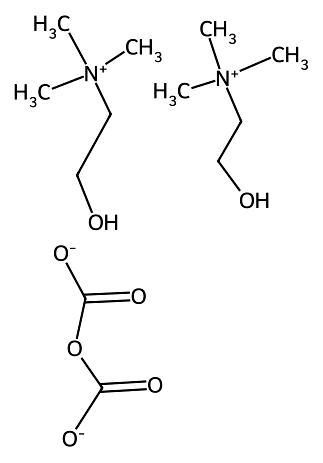 C[N+](C)(C)CCO.C[N+](C)(C)CCO.O=C([O-])OC(=O)[O-]